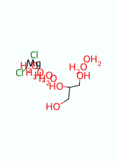 O.O.O.O.O.O.OCC(O)CO.[Cl][Mg][Cl]